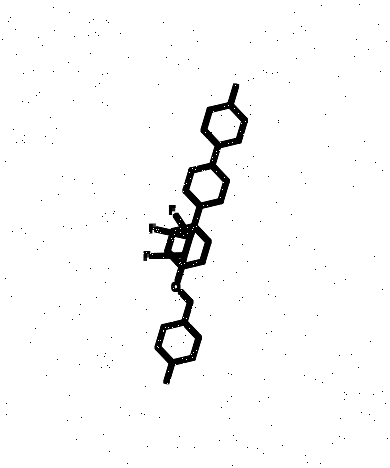 CC1CCC(COC23CCC(C4CCC(C5CCC(C)CC5)CC4)(CC2)C(F)(F)C3F)CC1